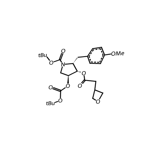 COc1ccc(C[C@@H]2[C@H](OC(=O)CC3COC3)[C@@H](OC(=O)OC(C)(C)C)CN2C(=O)OC(C)(C)C)cc1